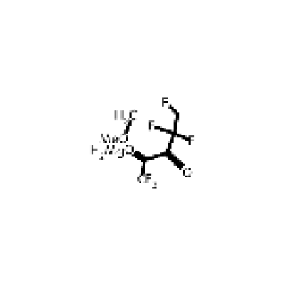 COC.O=C(C(=O)C(F)(F)CF)C(F)(F)F.[MgH2]